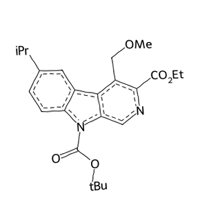 CCOC(=O)c1ncc2c(c1COC)c1cc(C(C)C)ccc1n2C(=O)OC(C)(C)C